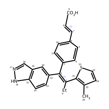 CC/C(=C(/c1ccc(/C=C/C(=O)O)cc1)c1ccc2[nH]ncc2c1)c1sccc1C